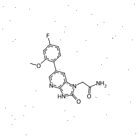 COc1cc(F)ccc1-c1cnc2[nH]c(=O)n(CC(N)=O)c2c1